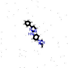 Cc1ncn(-c2ccc(Nc3nccc(-c4ccccc4)n3)cc2)n1